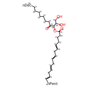 CCCCCC=CCC=CCC=CCC=CCCCC(=O)OC(C(=O)CCCCCCCCCCCCCCCCC)C(O)CO